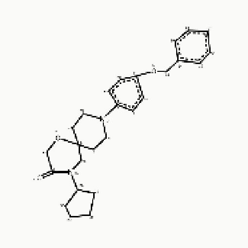 O=C1COC2(CCN(c3ccc(OCc4ccccc4)cc3)CC2)CN1C1CCCC1